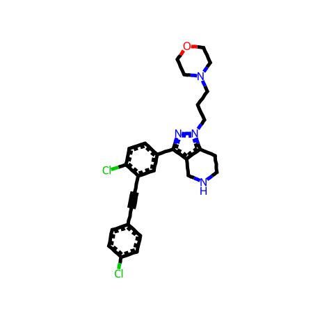 Clc1ccc(C#Cc2cc(-c3nn(CCCN4CCOCC4)c4c3CNCC4)ccc2Cl)cc1